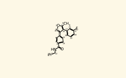 Cc1onc(-c2ccc(C(=O)NCC(C)C)cc2)c1-c1cccc(F)c1